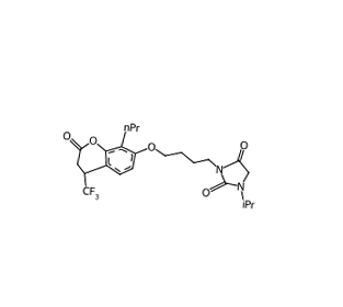 CCCc1c(OCCCCN2C(=O)CN(C(C)C)C2=O)ccc2c1OC(=O)CC2C(F)(F)F